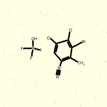 Cc1c([N+]#N)cc(Cl)c(Cl)c1Br.O[B-](F)(F)F